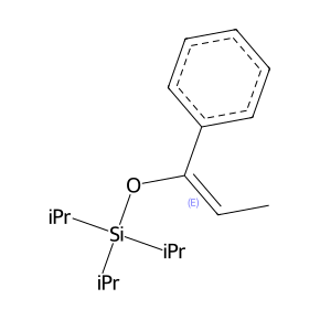 C/C=C(/O[Si](C(C)C)(C(C)C)C(C)C)c1ccccc1